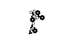 COC(=O)[C@H](Cc1ccc(OCCCN(CC(C)C)c2ccccc2C)cc1)Nc1ccccc1C(=O)c1ccccc1